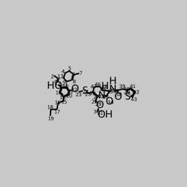 C=C(C)[C@@H]1CCC(C)=C[C@H]1c1c(O)cc(CCCCC)cc1OCSCC1=C(COCO)N2C(=O)[C@@H](NC(=O)Cc3cccs3)[C@H]2CC1